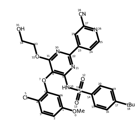 COc1ccc(Cl)c(Oc2c(NS(=O)(=O)c3ccc(C(C)(C)C)cc3)nc(-c3ccnc(C#N)c3)nc2OCCO)c1